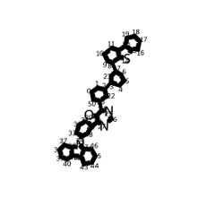 c1cc(-c2cccc(-c3cccc4c3sc3ccccc34)c2)cc(-c2ncnc3c2oc2ccc(-n4c5ccccc5c5ccccc54)cc23)c1